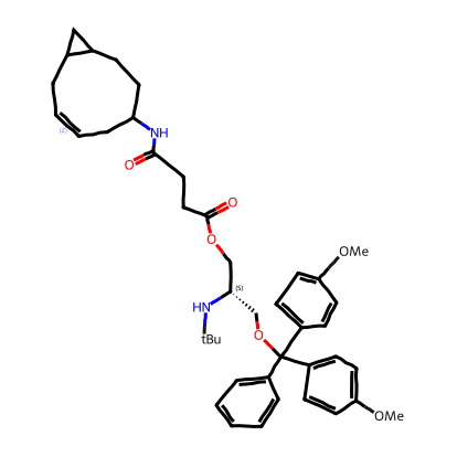 COc1ccc(C(OC[C@@H](COC(=O)CCC(=O)NC2C/C=C\CC3CC3CC2)NC(C)(C)C)(c2ccccc2)c2ccc(OC)cc2)cc1